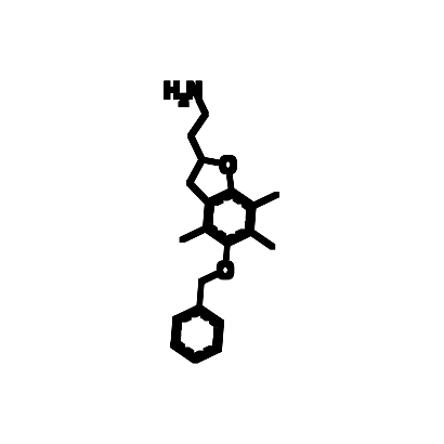 Cc1c(C)c2c(c(C)c1OCc1ccccc1)CC(CCN)O2